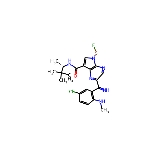 CNc1ccc(Cl)cc1C(=N)c1cnc2c(n1)c(C(=O)N[C@@H](C)C(C)(C)C)cn2SF